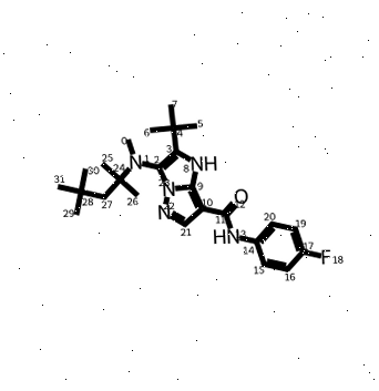 CN(c1c(C(C)(C)C)[nH]c2c(C(=O)Nc3ccc(F)cc3)cnn12)C(C)(C)CC(C)(C)C